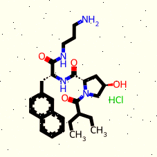 CCC(CC)C(=O)N1C[C@H](O)C[C@H]1C(=O)N[C@H](Cc1ccc2ccccc2c1)C(=O)NCCCN.Cl